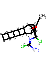 CC1CC/C(=C(Cl)/N=C(\N)Cl)C2(C1)C1CCC2C2C3C4C5CCC5C4C3C21